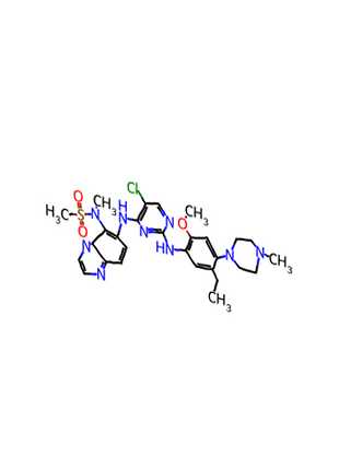 CCc1cc(Nc2ncc(Cl)c(Nc3ccc4nccnc4c3N(C)S(C)(=O)=O)n2)c(OC)cc1N1CCN(C)CC1